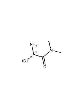 CN(C)C(=O)[C@@H](N)C(C)(C)C